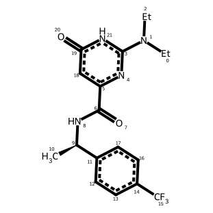 CCN(CC)c1nc(C(=O)N[C@H](C)c2ccc(C(F)(F)F)cc2)cc(=O)[nH]1